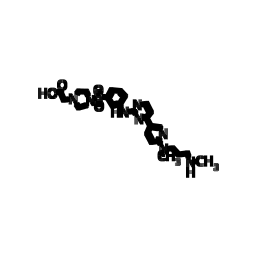 CNCCCN(C)c1ccc(-c2ccnc(Nc3cccc(S(=O)(=O)N4CCN(CC(=O)O)CC4)c3)n2)cn1